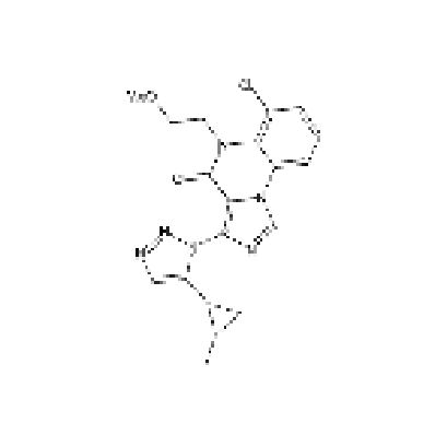 COCCn1c(=O)c2c(-n3nncc3C3CC3C)ncn2c2cccc(Cl)c21